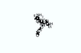 CC[C@@H]1CN2c3nc(OC[C@H](F)CN4CC5(COC5)C4)nc4c(F)c(-c5cc(N)c(F)c(C)c5C(F)(F)F)nc(c34)O[C@@H](C)[C@@H]2CN1